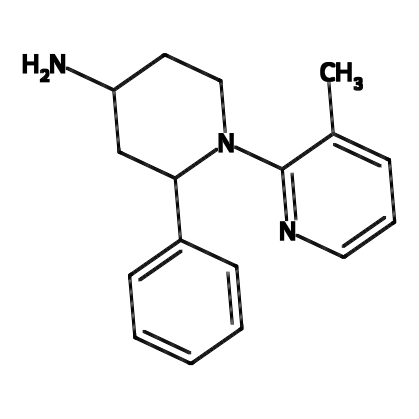 Cc1cccnc1N1CCC(N)CC1c1ccccc1